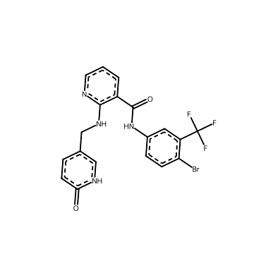 O=C(Nc1ccc(Br)c(C(F)(F)F)c1)c1cccnc1NCc1ccc(=O)[nH]c1